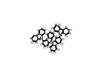 C1=CC2c3ccccc3N(c3cccc([Si](c4ccccc4)(c4ccccc4)c4cccc(-n5c6c(c7ccccc75)CCC=C6)c4)c3)C2C=C1